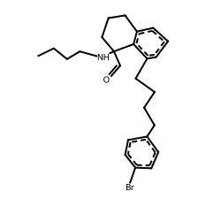 CCCCNC1(C=O)CCCc2cccc(CCCCc3ccc(Br)cc3)c21